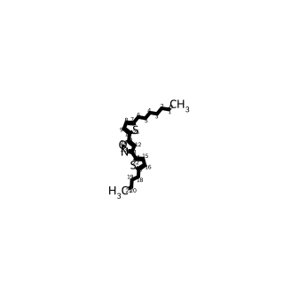 CCCCCCCc1ccc(-c2cc(-c3ccc(CCCC)s3)no2)s1